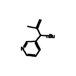 C=C(C)C(CCCC)c1cccnc1